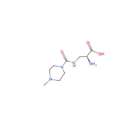 CN1CCN(C(=O)NC[C@H](N)C(=O)O)CC1